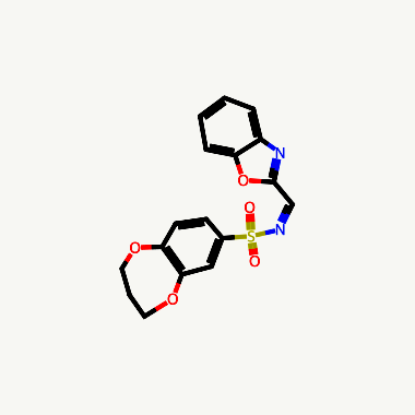 O=S(=O)(/N=C\c1nc2ccccc2o1)c1ccc2c(c1)OCCCO2